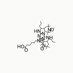 CCCC(Nc1nc(NCCCCCC(=O)O)nc(NC(CCC)C2CC(C)(C)N(OC)C(C)(C)C2)n1)C1CC(C)(C)N(OC)C(C)(C)C1